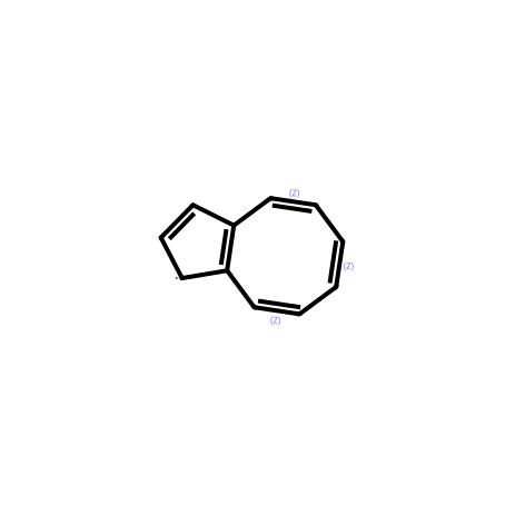 [CH]1C=CC2=C1\C=C/C=C\C=C/2